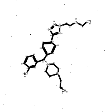 C=CCN1CCN([C@@H](c2ccc(-c3nnn(CCOCC#N)n3)cc2)c2cccc(O)c2)CC1